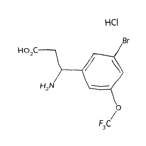 Cl.NC(CC(=O)O)c1cc(Br)cc(OC(F)(F)F)c1